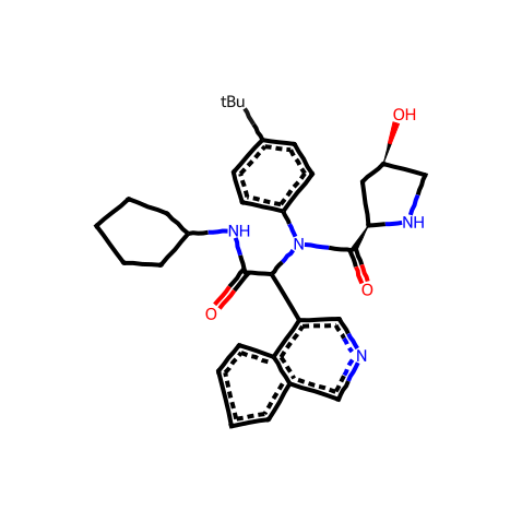 CC(C)(C)c1ccc(N(C(=O)[C@H]2C[C@@H](O)CN2)C(C(=O)NC2CCCCC2)c2cncc3ccccc23)cc1